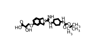 CC(C)(C)OC(=O)NC1CCC(NC(=N)N2Cc3ccc(OC[C@@H](O)C(=O)O)cc3C2)CC1